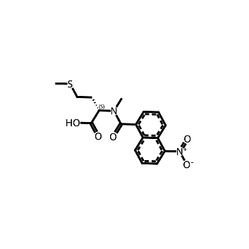 CSCC[C@@H](C(=O)O)N(C)C(=O)c1cccc2c([N+](=O)[O-])cccc12